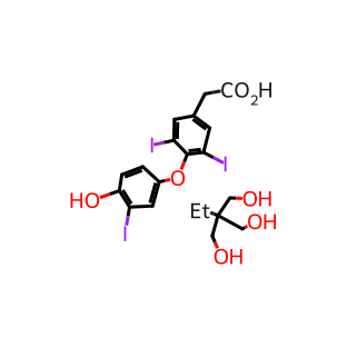 CCC(CO)(CO)CO.O=C(O)Cc1cc(I)c(Oc2ccc(O)c(I)c2)c(I)c1